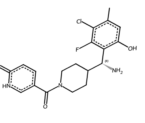 Cc1cc(O)c([C@H](N)C2CCN(C(=O)c3ccc(=O)[nH]c3)CC2)c(F)c1Cl